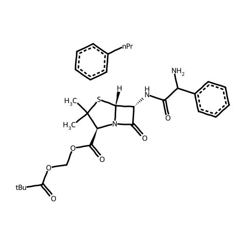 CC(C)(C)C(=O)OCOC(=O)[C@@H]1N2C(=O)[C@@H](NC(=O)C(N)c3ccccc3)[C@H]2SC1(C)C.CCCc1ccccc1